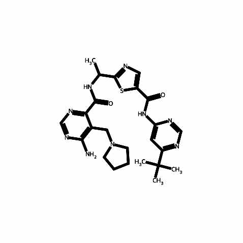 CC(NC(=O)c1ncnc(N)c1CN1CCCC1)c1ncc(C(=O)Nc2cc(C(C)(C)C)ncn2)s1